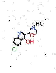 O=CN1CCOC(c2cnc3ccc(Cl)cc3c2O)C1